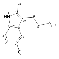 Cc1[nH]c2ccc(Cl)cc2c1CCN